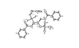 CO/N=C\C(F)(F)[C@H](OC(=O)c1ccccc1)[C@@H](COC(=O)c1ccccc1)OS(C)(=O)=O